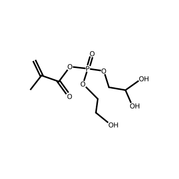 C=C(C)C(=O)OP(=O)(OCCO)OCC(O)O